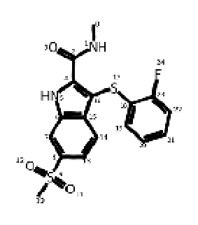 CNC(=O)c1[nH]c2cc(S(C)(=O)=O)ccc2c1Sc1ccccc1F